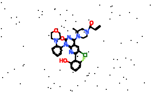 C=CC(=O)N1CCN(c2nc(=O)n(-c3ccccc3N3CCOCC3)c3nc(-c4c(O)cccc4F)c(Cl)cc23)[C@@H](C)C1